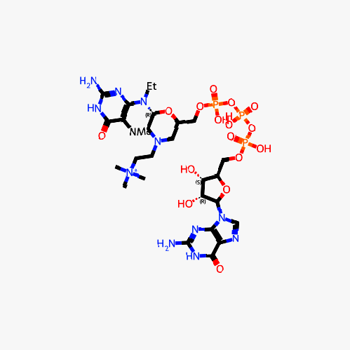 CCN(c1nc(N)[nH]c(=O)c1NC)[C@H]1CN(CC[N+](C)(C)C)CC(COP(=O)(O)OP(=O)(O)OP(=O)(O)OCC2OC(n3cnc4c(=O)[nH]c(N)nc43)[C@H](O)[C@@H]2O)O1